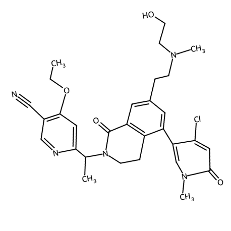 CCOc1cc(C(C)N2CCc3c(cc(CCN(C)CCO)cc3-c3cn(C)c(=O)cc3Cl)C2=O)ncc1C#N